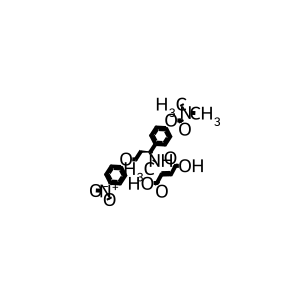 CN[C@@H](CCOc1ccc([N+](=O)[O-])cc1)c1ccc(OC(=O)N(C)C)cc1.O=C(O)/C=C/C(=O)O